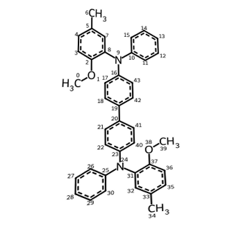 COc1ccc(C)cc1N(c1ccccc1)c1ccc(-c2ccc(N(c3ccccc3)c3cc(C)ccc3OC)cc2)cc1